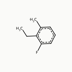 [CH2]c1cccc(F)c1CC